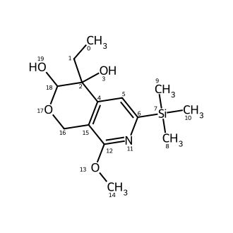 CCC1(O)c2cc([Si](C)(C)C)nc(OC)c2COC1O